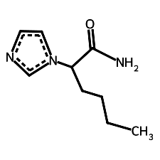 CCCCC(C(N)=O)n1ccnc1